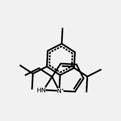 CCC12C=CC=C[N+]1(c1c(C(C)C)cc(C)cc1C(C)C)N2